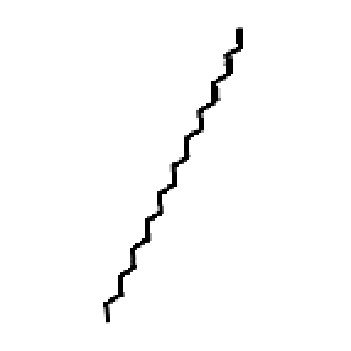 [CH]=CC=CC=CCCCCCCCCCCCCCCCC